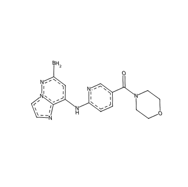 Bc1cc(Nc2ccc(C(=O)N3CCOCC3)cn2)c2nccn2n1